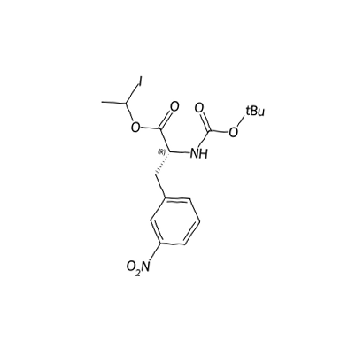 CC(I)OC(=O)[C@@H](Cc1cccc([N+](=O)[O-])c1)NC(=O)OC(C)(C)C